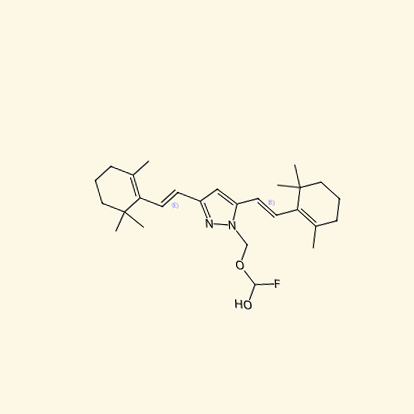 CC1=C(/C=C/c2cc(/C=C/C3=C(C)CCCC3(C)C)n(COC(O)F)n2)C(C)(C)CCC1